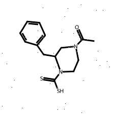 CC(=O)N1CCN(C(=S)S)C(Cc2ccccc2)C1